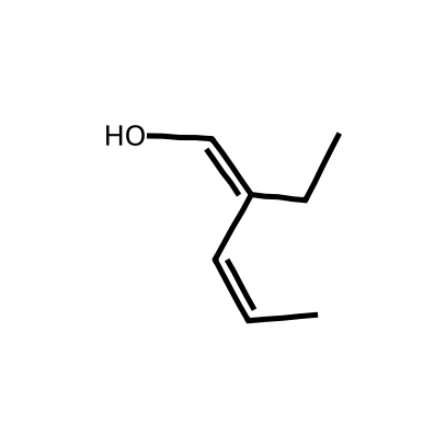 C/C=C\C(=C/O)CC